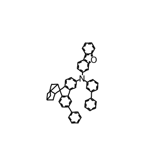 c1ccc(-c2cccc(N(c3ccc4c(c3)-c3cc(-c5ccccc5)ccc3C43C4CC5CC(C4)C3C5)c3ccc4c(c3)oc3ccccc34)c2)cc1